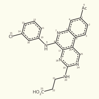 CC(=O)c1ccc2c(c1)nc(Nc1cccc(Cl)c1)c1nc(NCCC(=O)O)ncc12